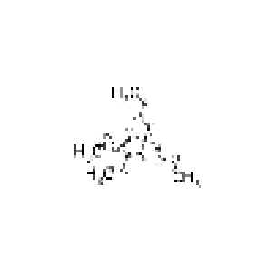 CCC=CC(C=CCC)(C=CCC)C=CCC